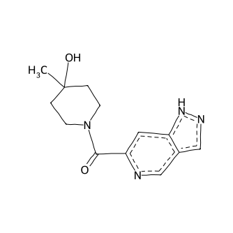 CC1(O)CCN(C(=O)c2cc3[nH]ncc3cn2)CC1